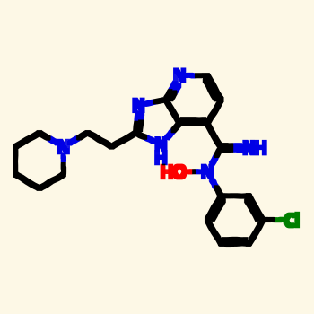 N=C(c1ccnc2nc(CCN3CCCCC3)[nH]c12)N(O)c1cccc(Cl)c1